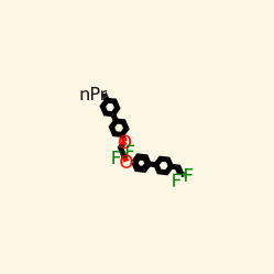 CCCC1CCC(C2CCC(OCC(F)(F)Oc3ccc(C4CCC(C=C(F)F)CC4)cc3)CC2)CC1